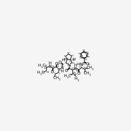 CCCC(NC(=O)[C@@H]1[C@H]2CCC[C@H]2CN1C(=O)C(NC(=O)[C@H](NC(=O)c1cnccn1)C(C)C)C(C)C)C(=O)C(=O)N[C@H](C)CC